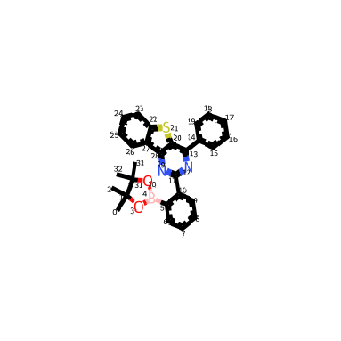 CC1(C)OB(c2ccccc2-c2nc(-c3ccccc3)c3sc4ccccc4c3n2)OC1(C)C